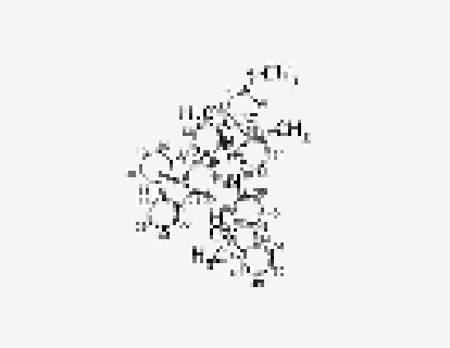 C=C1CC(CC)CC(CC)C12c1ccccc1-c1c(N(c3ccc4c(c3)-c3ccccc3C43CCCCC3)c3ccc4c(c3)C(C)(C)c3ccccc3-4)cccc12